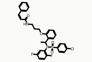 CC(c1ccccc1OCCCNC(=O)/C=C\c1ccccc1)N(c1cc(F)ccc1F)S(=O)(=O)c1ccc(Cl)cc1